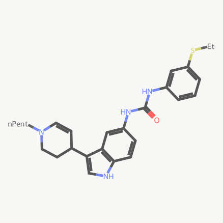 CCCCCN1C=CC(c2c[nH]c3ccc(NC(=O)Nc4cccc(SCC)c4)cc23)CC1